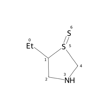 CCC1CNCS1=S